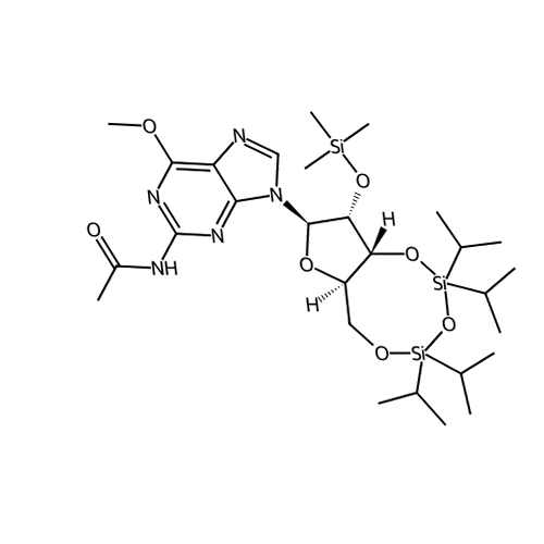 COc1nc(NC(C)=O)nc2c1ncn2[C@@H]1O[C@@H]2CO[Si](C(C)C)(C(C)C)O[Si](C(C)C)(C(C)C)O[C@H]2[C@H]1O[Si](C)(C)C